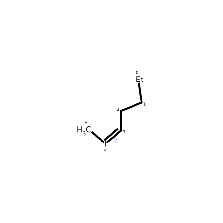 CCCC/C=I\C